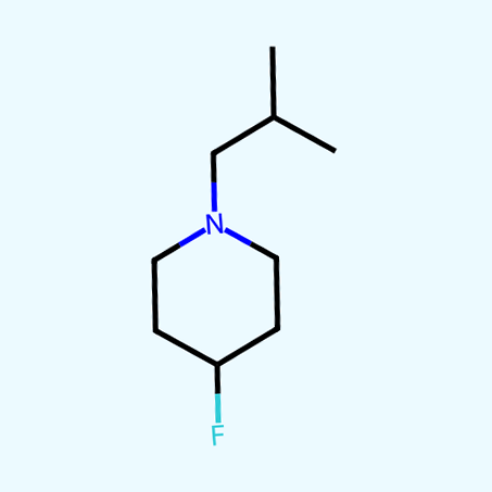 CC(C)CN1CCC(F)CC1